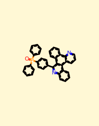 O=P(c1ccccc1)(c1ccccc1)c1ccc(-c2nc3ccccc3c3c4cccnc4c4ccccc4c23)cc1